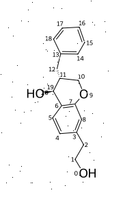 OCCc1ccc2c(c1)OC[C@@H](Cc1ccccc1)[C@@H]2O